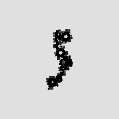 CCN(CC=Cc1ccc(-c2nnc(CSCCOc3ccccc3)o2)cc1)C1CCCCC1